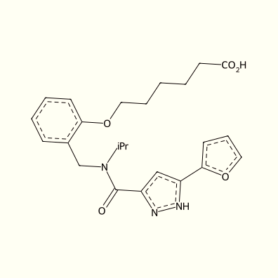 CC(C)N(Cc1ccccc1OCCCCCC(=O)O)C(=O)c1cc(-c2ccco2)[nH]n1